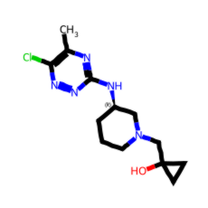 Cc1nc(N[C@@H]2CCCN(CC3(O)CC3)C2)nnc1Cl